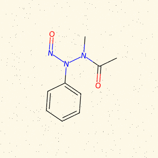 CC(=O)N(C)N(N=O)c1ccccc1